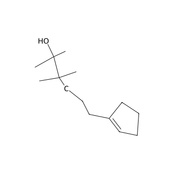 CC(C)(O)C(C)(C)CCCC1=CCCC1